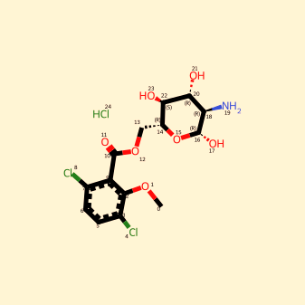 COc1c(Cl)ccc(Cl)c1C(=O)OC[C@H]1O[C@@H](O)[C@H](N)[C@@H](O)[C@@H]1O.Cl